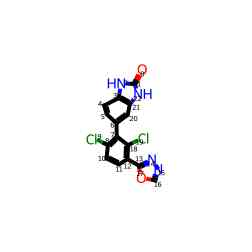 O=c1[nH]c2ccc(-c3c(Cl)ccc(-c4nnco4)c3Cl)cc2[nH]1